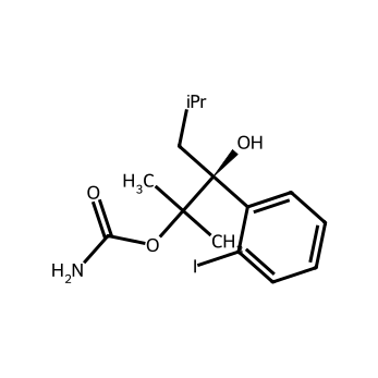 CC(C)C[C@](O)(c1ccccc1I)C(C)(C)OC(N)=O